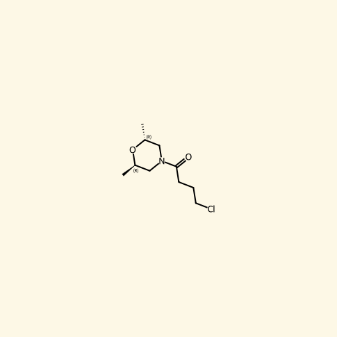 C[C@@H]1CN(C(=O)CCCCl)C[C@@H](C)O1